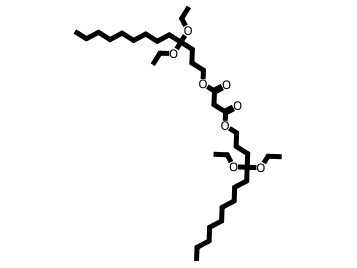 CCCCCCCCCC(CCCOC(=O)CC(=O)OCCCC(CCCCCCCCC)(OCC)OCC)(OCC)OCC